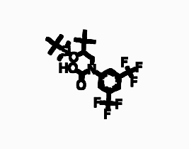 CC(C)(C)C(CN(C(=O)O)c1cc(C(F)(F)F)cc(C(F)(F)F)c1)O[Si](C)(C)C(C)(C)C